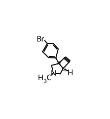 CN1C[C@H]2C#C[C@@]2(c2ccc(Br)cc2)C1